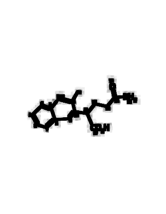 Cc1nc2ccccc2cc1C(CCC(N)=O)C(=O)O